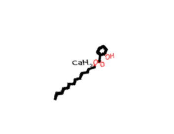 CCCCCCCCCCCCCOC(=O)c1ccccc1O.[CaH2]